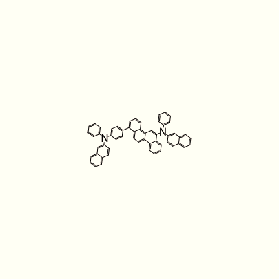 c1ccc(N(c2ccc(-c3cccc4c3ccc3c5ccccc5c(N(c5ccccc5)c5ccc6ccccc6c5)cc43)cc2)c2ccc3ccccc3c2)cc1